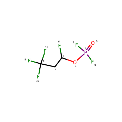 O=P(F)(F)OC(F)CC(F)(F)F